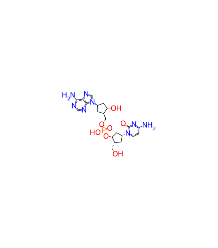 Nc1ccn([C@@H]2C[C@H](CO)[C@@H](OP(=O)(O)OC[C@H]3C[C@@H](n4cnc5c(N)ncnc54)C[C@@H]3O)C2)c(=O)n1